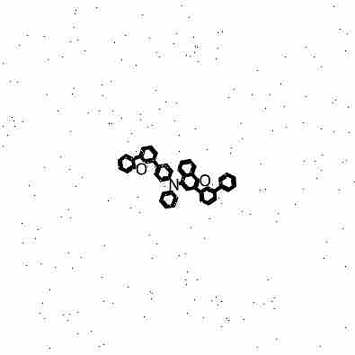 c1ccc(-c2cccc3c2oc2c4ccccc4c(N(c4ccccc4)c4ccc(-c5cccc6c5oc5ccccc56)cc4)cc32)cc1